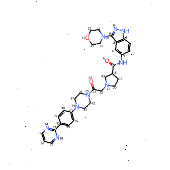 O=C(Nc1ccc2[nH]nc(N3CCOCC3)c2c1)C1CCN(CC(=O)N2CCN(c3ccc(-c4ncccn4)cc3)CC2)C1